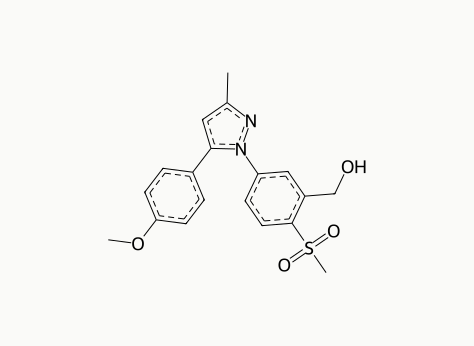 COc1ccc(-c2cc(C)nn2-c2ccc(S(C)(=O)=O)c(CO)c2)cc1